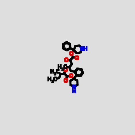 CCC(C)C(=O)C(=O)OC1(c2ccccc2CC(C)CC(=O)C(=O)OC2(c3ccccc3)CCNCC2)CCNCC1